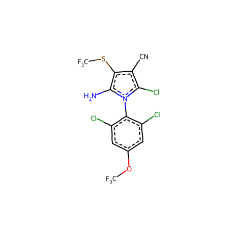 N#Cc1c(SC(F)(F)F)c(N)n(-c2c(Cl)cc(OC(F)(F)F)cc2Cl)c1Cl